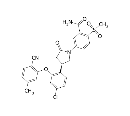 Cc1ccc(C#N)c(Oc2cc(Cl)ccc2[C@H]2CC(=O)N(c3ccc(S(C)(=O)=O)c(C(N)=O)c3)C2)c1